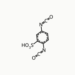 O=C=Nc1ccc(N=C=O)c(S(=O)(=O)O)c1